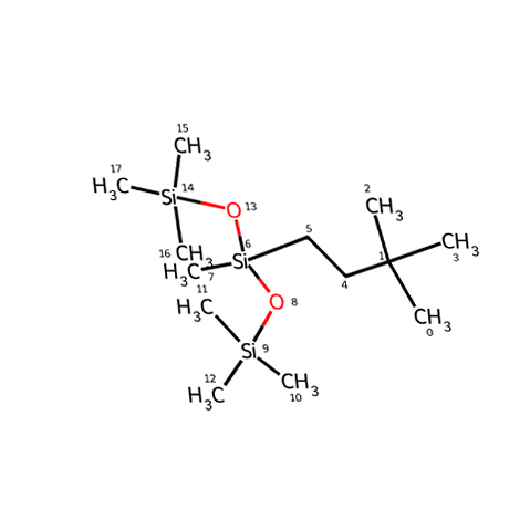 CC(C)(C)CC[Si](C)(O[Si](C)(C)C)O[Si](C)(C)C